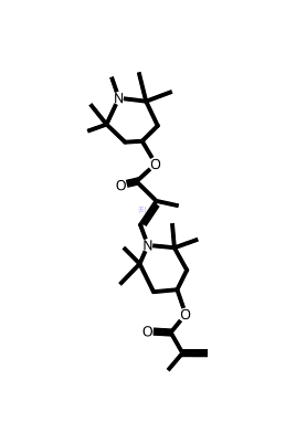 C=C(C)C(=O)OC1CC(C)(C)N(/C=C(\C)C(=O)OC2CC(C)(C)N(C)C(C)(C)C2)C(C)(C)C1